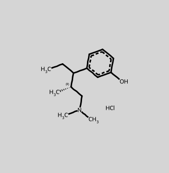 CCC(c1cccc(O)c1)[C@@H](C)CN(C)C.Cl